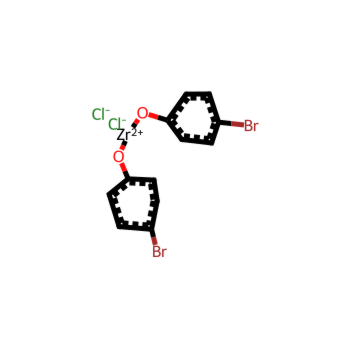 Brc1ccc([O][Zr+2][O]c2ccc(Br)cc2)cc1.[Cl-].[Cl-]